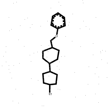 CCC1CCC(C2CCC(COc3ccccc3)CC2)CC1